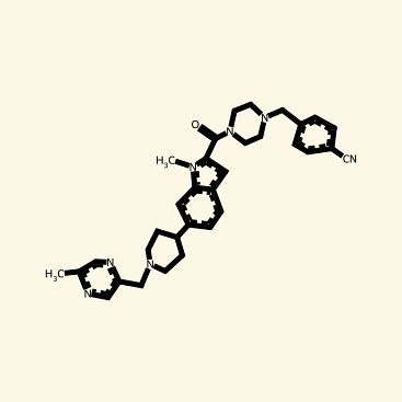 Cc1cnc(CN2CCC(c3ccc4cc(C(=O)N5CCN(Cc6ccc(C#N)cc6)CC5)n(C)c4c3)CC2)cn1